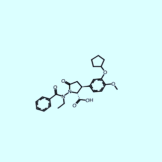 CCN(C(=O)c1ccccc1)N1C(=O)C[C@@H](c2ccc(OC)c(OC3CCCC3)c2)[C@@H]1C(=O)O